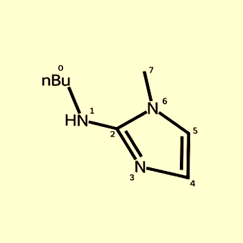 CCCCNc1nccn1C